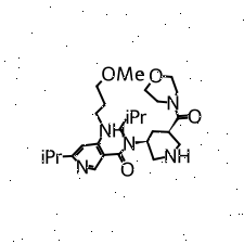 COCCCNc1cc(C(C)C)ncc1C(=O)N(CC(C)C)[C@@H]1CNC[C@H](C(=O)N2CCOCC2)C1